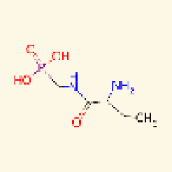 CCC(N)C(=O)NCP(=O)(O)O